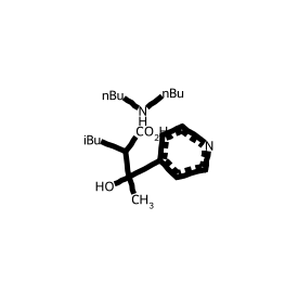 CCC(C)C(C(=O)O)C(C)(O)c1ccncc1.CCCCNCCCC